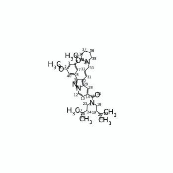 COc1cc(OC)cc(-c2nn3ccc(C(=O)N(CCC(C)C)CCC(C)C)cc3c2/C=C/CN2CCCCC2)c1